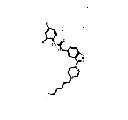 CCCCCCN1CCC(c2n[nH]c3ccc(NC(=S)Nc4ccc(F)cc4Br)cc23)CC1